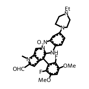 CCN1CCN(c2ccc(Nc3ncc4c(cc(C=O)n4C)c3-c3c(F)c(OC)cc(OC)c3F)c([N+](=O)[O-])c2)CC1